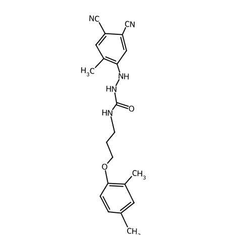 Cc1ccc(OCCCNC(=O)NNc2cc(C#N)c(C#N)cc2C)c(C)c1